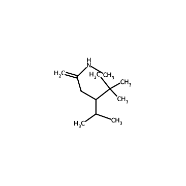 C=C(CC(C(C)C)C(C)(C)C)NC